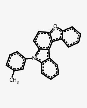 Cc1cccc(-n2c3ccccc3c3c4c(ccc32)oc2ccccc24)c1